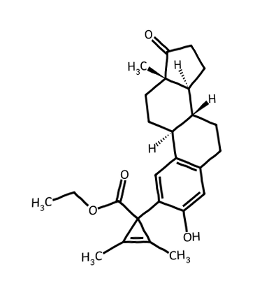 CCOC(=O)C1(c2cc3c(cc2O)CC[C@@H]2[C@@H]3CC[C@]3(C)C(=O)CC[C@@H]23)C(C)=C1C